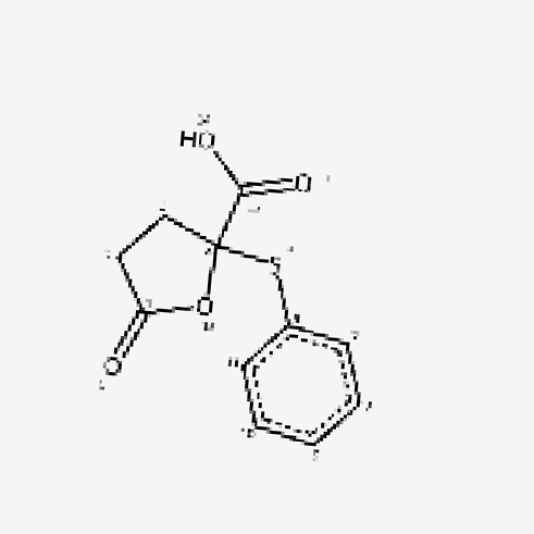 O=C1CCC(Sc2ccccc2)(C(=O)O)O1